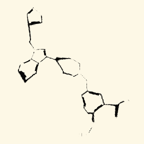 COc1ccc(CN2CCC(c3cn(Cc4ccoc4)c4ncccc34)CC2)cc1C(=O)O